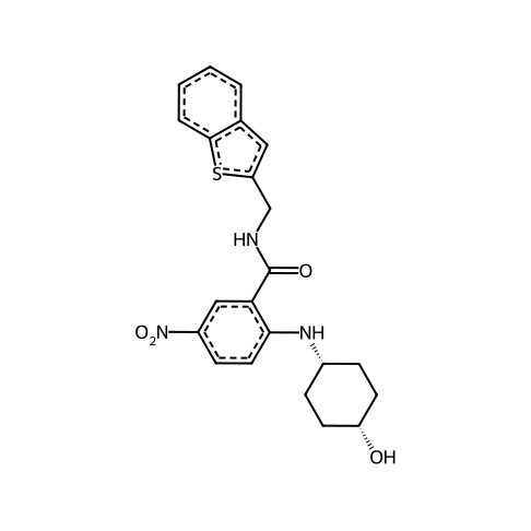 O=C(NCc1cc2ccccc2s1)c1cc([N+](=O)[O-])ccc1N[C@H]1CC[C@@H](O)CC1